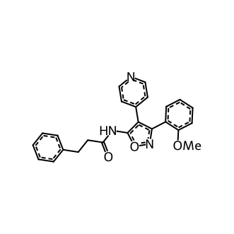 COc1ccccc1-c1noc(NC(=O)CCc2ccccc2)c1-c1ccncc1